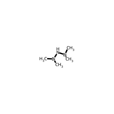 [CH3][Bi]([CH3])[NH][Bi]([CH3])[CH3]